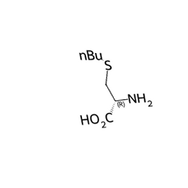 CCCCSC[C@H](N)C(=O)O